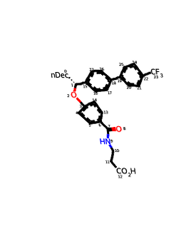 CCCCCCCCCC[C@@H](Oc1ccc(C(=O)NCCC(=O)O)cc1)c1ccc(-c2ccc(C(F)(F)F)cc2)cc1